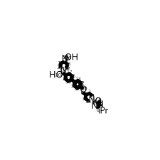 CC(C)c1noc(N2CCC(COc3ccc(C4=CCC(C(O)N5CCC(=NO)CC5)CC4)cc3)CC2)n1